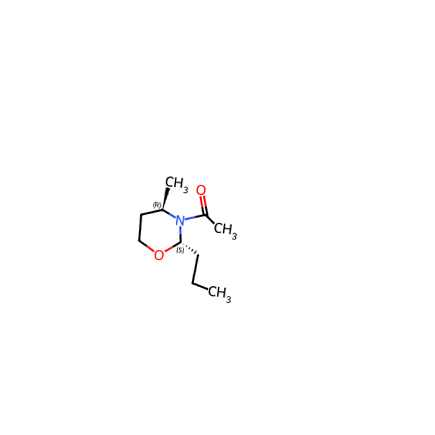 CCC[C@@H]1OCC[C@@H](C)N1C(C)=O